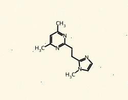 Cc1cc(C)nc(CCc2nccn2C)n1